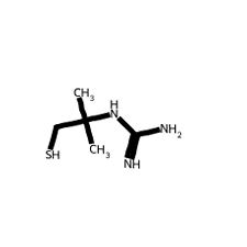 CC(C)(CS)NC(=N)N